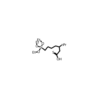 CCCC(CCCC[Si](OCC)(OCC)OCC)CC(O)=S